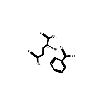 N[C@@H](CCC(=O)O)C(=O)O.O=C(O)c1ccccc1